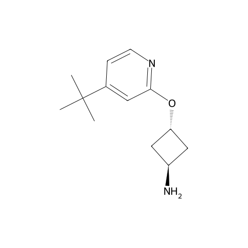 CC(C)(C)c1ccnc(O[C@H]2C[C@H](N)C2)c1